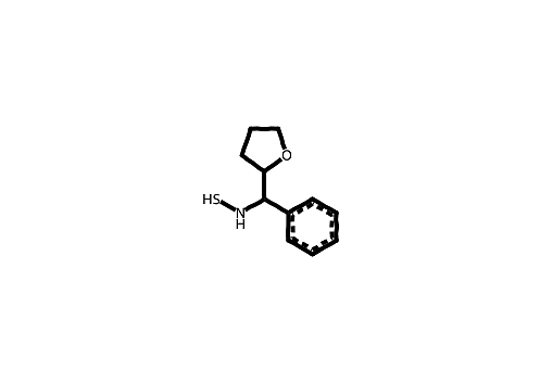 SNC(c1ccccc1)C1CCCO1